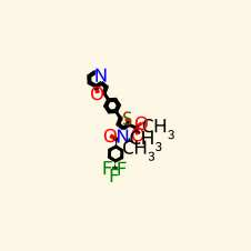 COC(=O)c1sc(-c2ccc(-c3cc4ncccc4o3)cc2)cc1N(C(=O)[C@H]1CC[C@H](C(F)(F)F)CC1)C(C)C